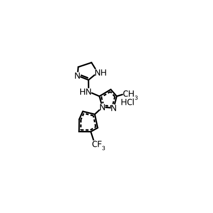 Cc1cc(NC2=NCCN2)n(-c2cccc(C(F)(F)F)c2)n1.Cl